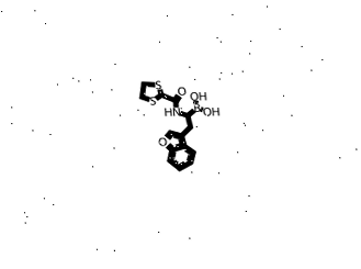 O=C(NC(Cc1coc2ccccc12)B(O)O)C1SCCS1